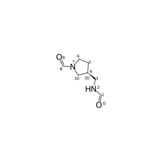 O=CNC[C@@H]1CCN(C=O)C1